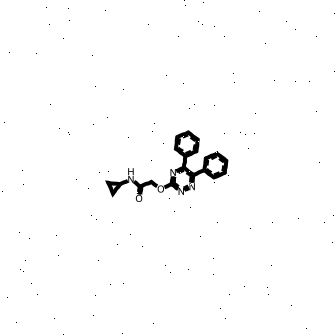 O=C(COc1nnc(-c2ccccc2)c(-c2ccccc2)n1)NC1CC1